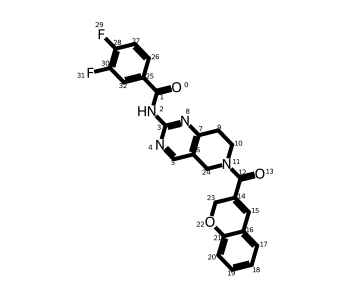 O=C(Nc1ncc2c(n1)CCN(C(=O)C1=Cc3ccccc3OC1)C2)c1ccc(F)c(F)c1